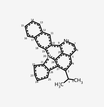 CC(C)c1cc2ccnc3c4cc5ccccc5cc4n4c5ccccc5c1c4c23